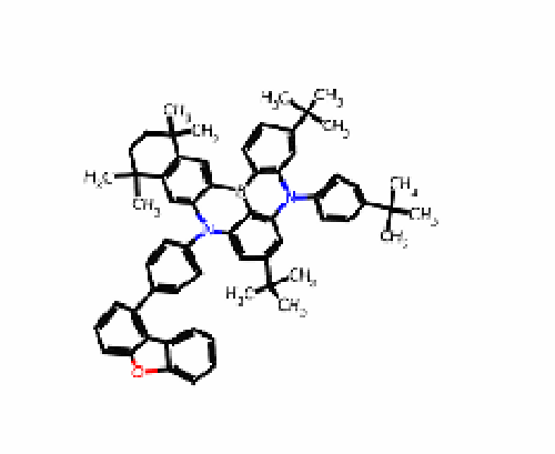 CC(C)(C)c1ccc(N2c3cc(C(C)(C)C)ccc3B3c4cc5c(cc4N(c4ccc(-c6cccc7oc8ccccc8c67)cc4)c4cc(C(C)(C)C)cc2c43)C(C)(C)CCC5(C)C)cc1